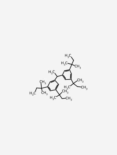 CCC(C)(C)c1cc(C(C)c2cc(C(C)(C)CC)cc(C(C)(C)CC)c2)cc(C(C)(C)CC)c1